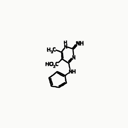 Cc1[nH]c(=N)nc(Nc2ccccc2)c1C(=O)O